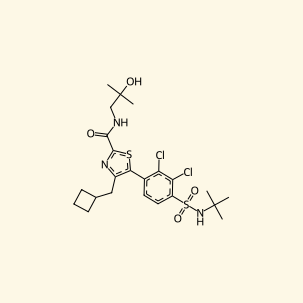 CC(C)(O)CNC(=O)c1nc(CC2CCC2)c(-c2ccc(S(=O)(=O)NC(C)(C)C)c(Cl)c2Cl)s1